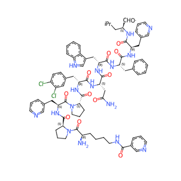 CC(C)C[C@@H]([C]=O)NC(=O)[C@@H](Cc1cccnc1)NC(=O)[C@H](Cc1ccccc1)NC(=O)[C@@H](Cc1c[nH]c2ccccc12)NC(=O)[C@H](CC(N)=O)NC(=O)[C@@H](Cc1ccc(Cl)c(Cl)c1)NC(=O)[C@@H]1CCCN1C(=O)[C@H](Cc1cccnc1)NC(=O)[C@@H]1CCCN1C(=O)[C@H](N)CCCCNC(=O)c1cccnc1